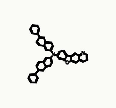 c1ccc(-c2ccc3cc(N(c4ccc5cc(-c6ccccc6)ccc5c4)c4ccc5c(c4)oc4cc6cccnc6cc45)ccc3c2)cc1